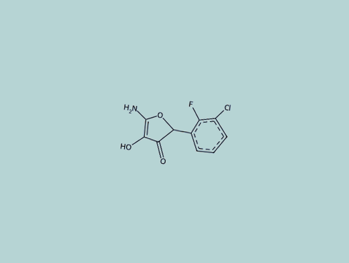 NC1=C(O)C(=O)C(c2cccc(Cl)c2F)O1